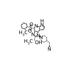 Cc1ccccc1S(=O)(=O)c1nc2[nH]ccc2c2c1nc([C@@H](C)O)n2N1CCC(CC#N)CC1